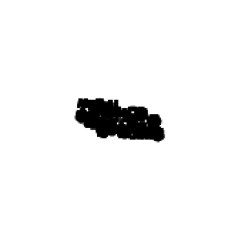 COc1ccccc1C1C(C(=O)O)[C@H](c2cc(-c3ccc4c(OC(=O)C5[C@@H](c6ccccc6OC)C(C(=O)O)[C@@H]5c5ccccc5OC)cccc4c3)ccc2OC)[C@@H]1C(=O)OCC1c2ccccc2-c2ccccc21